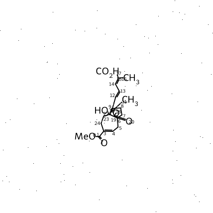 COC(=O)C1=CCC23CCC(C(C)(C=CC=C(C)C(=O)O)OC2=O)C3(O)CC1